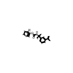 C=C(C)c1cccc(C(C)(C)NC(=O)O[C@@H]2CN3CC[C@H]2C3)c1